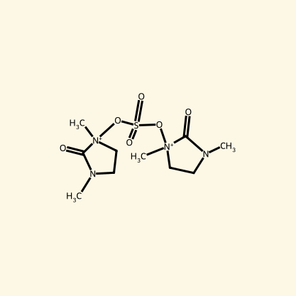 CN1CC[N+](C)(OS(=O)(=O)O[N+]2(C)CCN(C)C2=O)C1=O